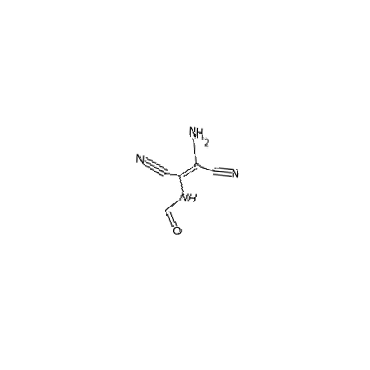 N#C/C(N)=C(/C#N)NC=O